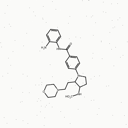 Nc1ccccc1NC(=O)c1ccc(N2CCC(NC(=O)O)C2CCN2CCOCC2)cc1